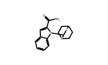 NC(=O)c1cc2ccccc2n1C1CC2CCN1CC2